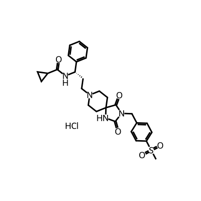 CS(=O)(=O)c1ccc(CN2C(=O)NC3(CCN(CC[C@H](NC(=O)C4CC4)c4ccccc4)CC3)C2=O)cc1.Cl